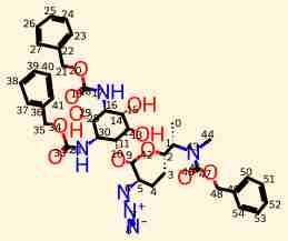 C[C@@H]([C@@H]1CC[C@@H](N=[N+]=[N-])[C@@H](O[C@H]2[C@H](O)[C@@H](O)[C@H](NC(=O)OCc3ccccc3)[C@@H](O)[C@@H]2NC(=O)OCc2ccccc2)O1)N(C)C(=O)OCc1ccccc1